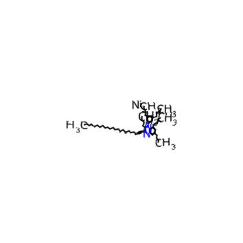 CCCCCCCCCCCCCCCCCCCCCC#CC(=Nc1cc(CCCC)cc(CCCC)c1)C(CCCC)=Nc1cc(CCCC)cc(CCCC)c1.[Ni]